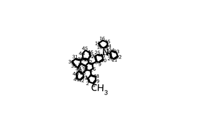 Cc1ccc(C2CC(c3ccc(N(C4=CCCC=C4)c4ccccc4)cc3)=c3c4c(c5ccccc5c3=C2c2ccccc2)CCC=C4)cc1